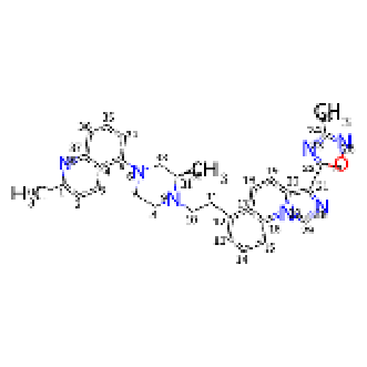 Cc1ccc2c(N3CCN(CCc4cccc5c4ccc4c(-c6nc(C)no6)ncn45)[C@H](C)C3)cccc2n1